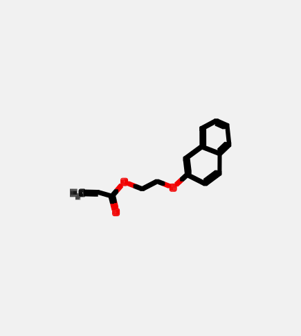 C=CC(=O)OCCOc1ccc2ccccc2c1